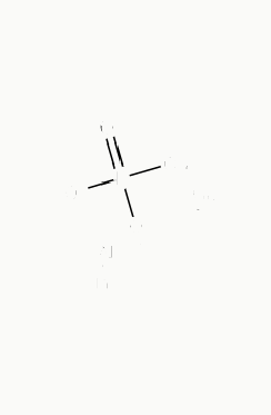 O=P([O-])([O-])[O-].[Al].[Ga].[In+3]